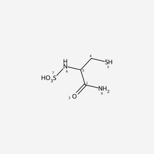 NC(=O)C(CS)NS(=O)(=O)O